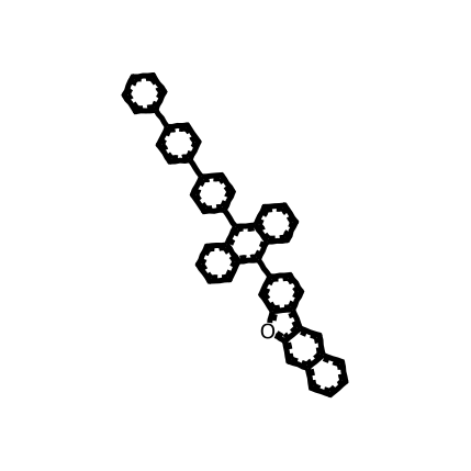 c1ccc(-c2ccc(-c3ccc(-c4c5ccccc5c(-c5ccc6c(c5)oc5cc7ccccc7cc56)c5ccccc45)cc3)cc2)cc1